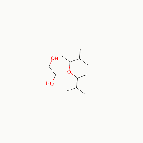 CC(C)C(C)OC(C)C(C)C.OCCO